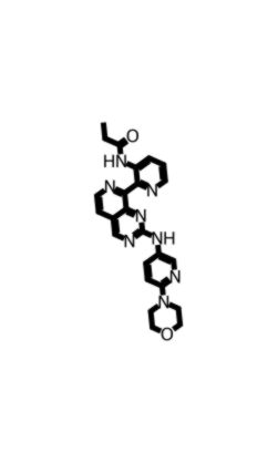 CCC(=O)Nc1cccnc1-c1nccc2cnc(Nc3ccc(N4CCOCC4)nc3)nc12